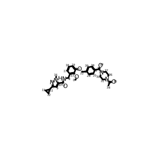 COc1c(CNC(=O)c2cc(C3CC3)nn2C)cccc1OCc1ccc(C(=O)N2CCN(C(C)=O)CC2)cc1